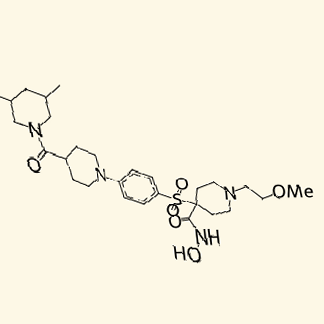 COCCN1CCC(C(=O)NO)(S(=O)(=O)c2ccc(N3CCC(C(=O)N4CC(C)CC(C)C4)CC3)cc2)CC1